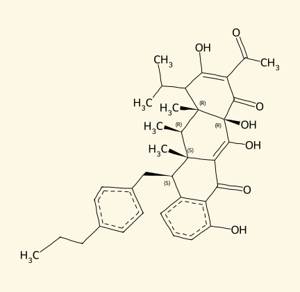 CCCc1ccc(C[C@@H]2c3cccc(O)c3C(=O)C3=C(O)[C@@]4(O)C(=O)C(C(C)=O)=C(O)C(C(C)C)[C@@]4(C)[C@H](C)[C@]32C)cc1